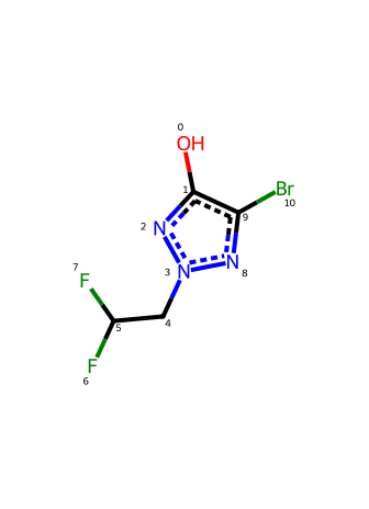 Oc1nn(CC(F)F)nc1Br